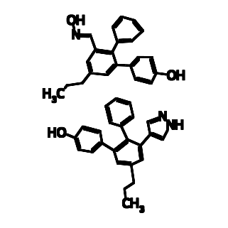 CCCc1cc(-c2ccc(O)cc2)c(-c2ccccc2)c(-c2cn[nH]c2)c1.CCCc1cc(/C=N/O)c(-c2ccccc2)c(-c2ccc(O)cc2)c1